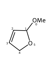 COC1C=CCO1